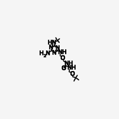 CC(C)(C)COCNC(=O)NCOCNc1nc(N)nc(NC(C)(C)C)n1